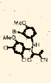 C=C(C#N)C(=O)N(Nc1ccc(OC)c(Br)c1)c1cc(OC)c(Cl)cc1Cl